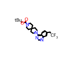 CC(C)(C)OC(=O)N1CCC2(CC1)CCN(c1ncnc3cc(CC(F)(F)F)ccc13)CC2